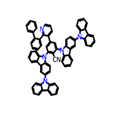 N#Cc1c(-n2c3ccccc3c3cc(-n4c5ccccc5c5ccccc54)ccc32)cc(-c2cccnc2-c2ccccc2-c2ccccc2)cc1-n1c2ccccc2c2cc(-n3c4ccccc4c4ccccc43)ccc21